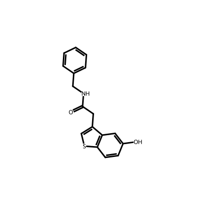 O=C(Cc1csc2ccc(O)cc12)NCc1ccccc1